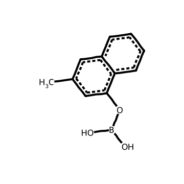 Cc1cc(OB(O)O)c2ccccc2c1